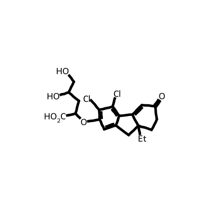 CCC12CCC(=O)C=C1c1c(cc(OC(CC(O)CO)C(=O)O)c(Cl)c1Cl)C2